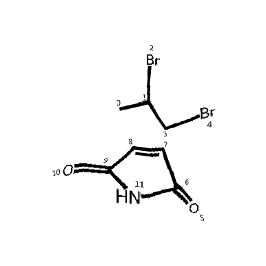 CC(Br)CBr.O=C1C=CC(=O)N1